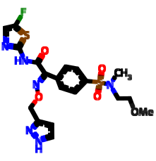 COCCN(C)S(=O)(=O)c1ccc(/C(=N\OCc2cc[nH]n2)C(=O)Nc2ncc(F)s2)cc1